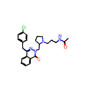 CC(=O)NCCCN1CCCC1Cn1nc(Cc2ccc(Cl)cc2)c2ccccc2c1=O